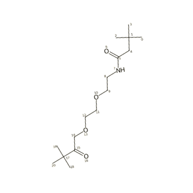 CC(C)(C)CC(=O)NCCOCCOCC(=O)C(C)(C)C